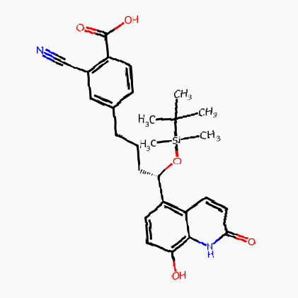 CC(C)(C)[Si](C)(C)O[C@@H](CCCc1ccc(C(=O)O)c(C#N)c1)c1ccc(O)c2[nH]c(=O)ccc12